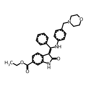 CCOC(=O)c1ccc2c(c1)NC(=O)/C2=C(\Nc1ccc(CN2CCOCC2)cc1)c1ccccc1